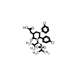 CC(C)[C@@H](CS(=O)(=O)C(C)C)N1C(=O)C(CC(=O)O)C[C@H](c2cccc(Cl)c2)C1c1ccc(Cl)cc1